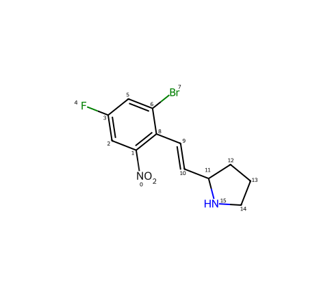 O=[N+]([O-])c1cc(F)cc(Br)c1C=CC1CCCN1